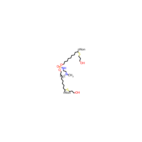 CCCCCCCCCC(CCCCCCCCOP(=O)(NCCN(C)C)OCCCCCCCCC(CCCCCCCCC)SCCCO)SCCCO